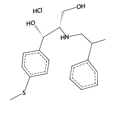 CSc1ccc([C@H](O)[C@H](CO)NCC(C)c2ccccc2)cc1.Cl